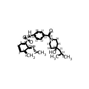 C=C1C=CC=C(S(=O)(=O)Nc2ccc(C(=O)N3CCC(O)(CC(C)C)CC3)cc2)/C1=N/SC